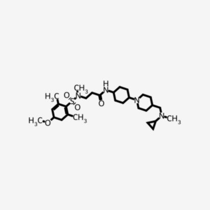 COC1C=C(C)C(S(=O)(=O)N(C)CCC(=O)NC2CCC(N3CCC(CN(C)C4CC4)CC3)CC2)=C(C)C1